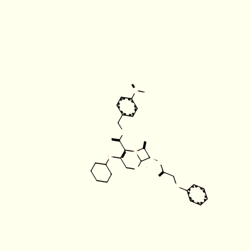 O=C(COc1ccccc1)N[C@@H]1C(=O)N2C(C(=O)OCc3ccc([N+](=O)[O-])cc3)=C(NC3CCCCC3)CS[C@H]12